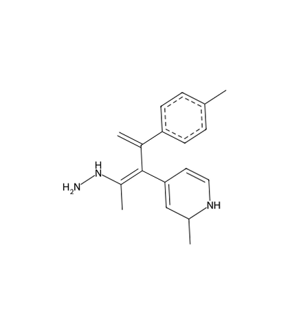 C=C(/C(C1=CC(C)NC=C1)=C(/C)NN)c1ccc(C)cc1